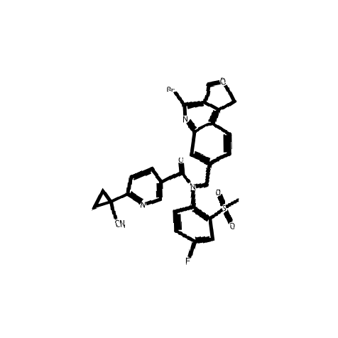 CS(=O)(=O)c1cc(F)ccc1N(Cc1ccc2c3c(c(Br)nc2c1)COC3)C(=O)c1ccc(C2(C#N)CC2)nc1